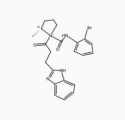 CC(C)c1ccccc1NC(=O)[N+]1(C(=O)CCc2nc3ccccc3[nH]2)CCC[C@H]1C